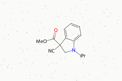 COC(=O)C1(C#N)CN(C(C)C)c2ccccc21